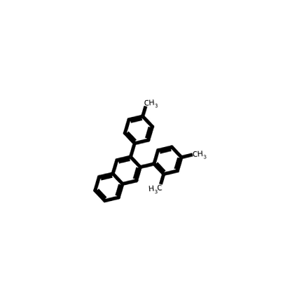 Cc1ccc(-c2cc3ccccc3[c]c2-c2ccc(C)cc2C)cc1